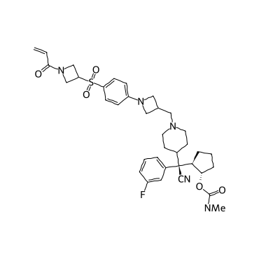 C=CC(=O)N1CC(S(=O)(=O)c2ccc(N3CC(CN4CCC([C@@](C#N)(c5cccc(F)c5)[C@H]5CCC[C@@H]5OC(=O)NC)CC4)C3)cc2)C1